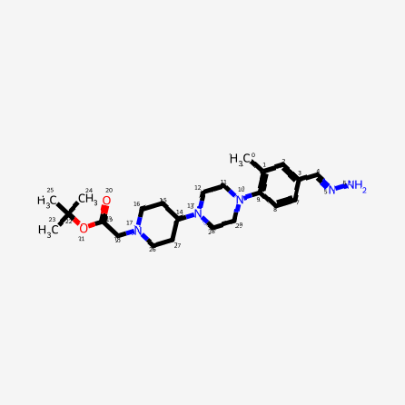 Cc1cc(C=NN)ccc1N1CCN(C2CCN(CC(=O)OC(C)(C)C)CC2)CC1